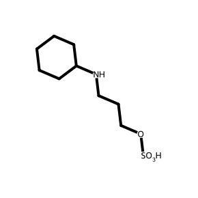 O=S(=O)(O)OCCCNC1CCCCC1